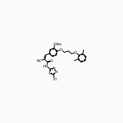 CCc1nnc(NC(=O)/C(C#N)=C\c2ccc(OCCCOc3c(C)cccc3C)c(OC)c2)s1